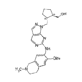 COc1cc2c(cc1Nc1ncc3cnn(C[C@@H]4CCC[C@H]4CO)c3n1)CN(C)CC2